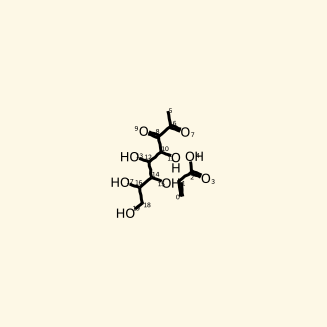 C=CC(=O)O.CC(=O)C(=O)C(O)C(O)C(O)C(O)CO